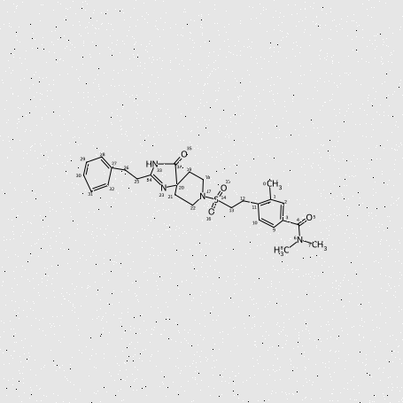 Cc1cc(C(=O)N(C)C)ccc1CCS(=O)(=O)N1CCC2(CC1)N=C(CCc1ccccc1)NC2=O